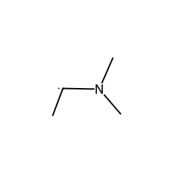 C[CH]N(C)C